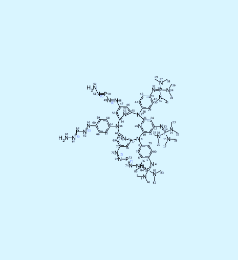 CN(C)P(=Nc1ccc(N2c3cc(N=P(N(C)C)(N(C)C)N(C)C)cc(n3)N(c3ccc(N=P(N(C)C)(N(C)C)N(C)C)cc3)c3cc(/N=N/P=N/N)cc(n3)N(c3ccc(/N=N/P=N/N)cc3)c3cc(/N=N\P=N\N)cc2n3)cc1)(N(C)C)N(C)C